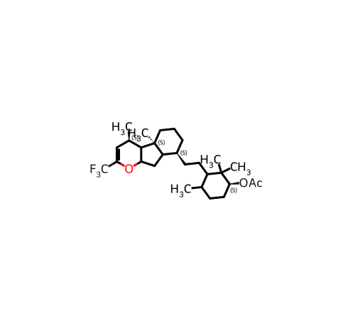 CC(=O)O[C@H]1CCC(C)C(CC[C@@H]2CCC[C@@]3(C)C2CC2OC(C(F)(F)F)=C[C@@H](C)C23)C1(C)C